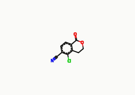 N#Cc1ccc2c(c1Cl)CCOC2=O